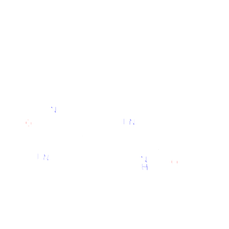 C/C=C/Cn1cc(-c2ccc3c(c2)NC(C)CC(=O)N3)c2cc[nH]c2c1=O